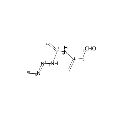 C=C(CC=O)NC(=C)NN=NC